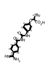 CC(C)(C)C(Oc1ccc(NC(=O)NC(=O)c2ccc(C(=N)N)cc2)cc1)C(=O)O